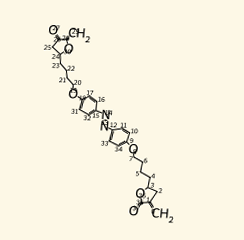 C=C1CC(CCCCOc2ccc(N=Nc3ccc(OCCCCC4CC(=O)C(=C)O4)cc3)cc2)OC1=O